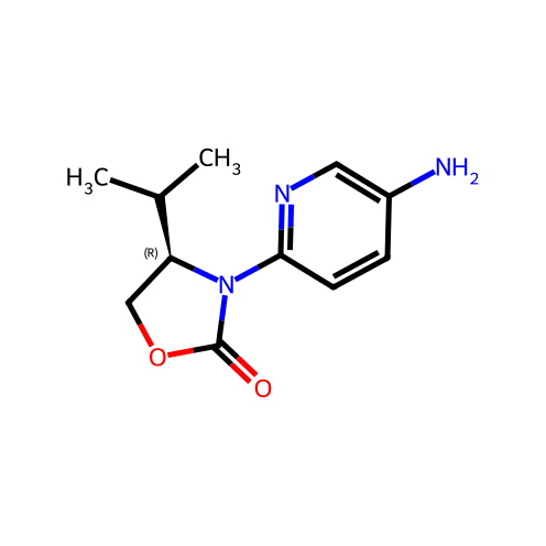 CC(C)[C@@H]1COC(=O)N1c1ccc(N)cn1